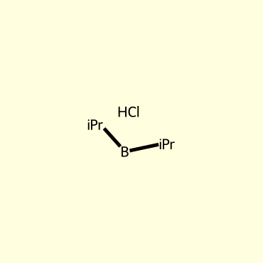 CC(C)[B]C(C)C.Cl